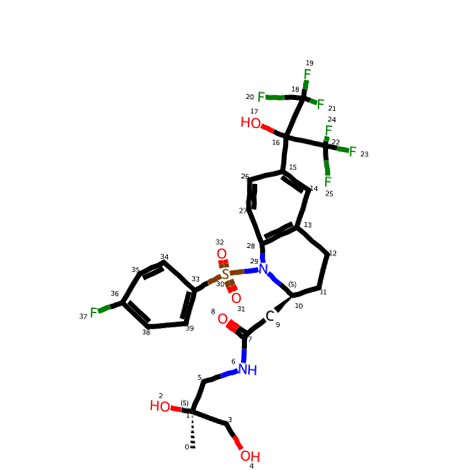 C[C@@](O)(CO)CNC(=O)C[C@@H]1CCc2cc(C(O)(C(F)(F)F)C(F)(F)F)ccc2N1S(=O)(=O)c1ccc(F)cc1